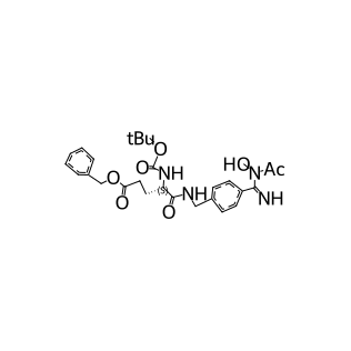 CC(=O)N(O)C(=N)c1ccc(CNC(=O)[C@H](CCC(=O)OCc2ccccc2)NC(=O)OC(C)(C)C)cc1